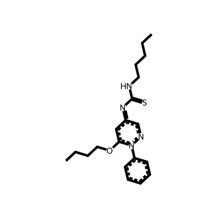 CCCCCNC(=S)/N=c1\cnn(-c2ccccc2)c(OCCCC)c1